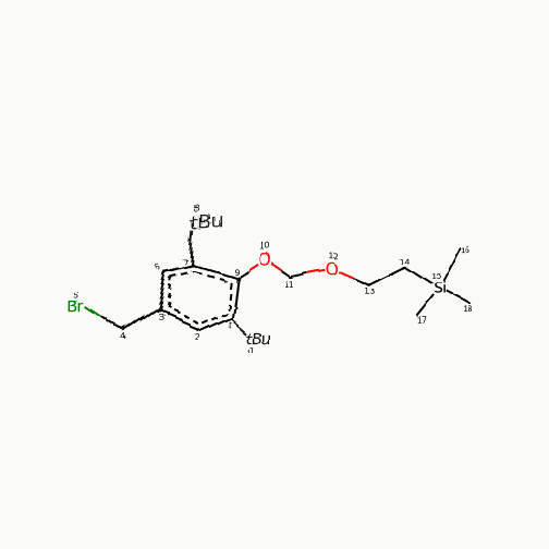 CC(C)(C)c1cc(CBr)cc(C(C)(C)C)c1OCOCC[Si](C)(C)C